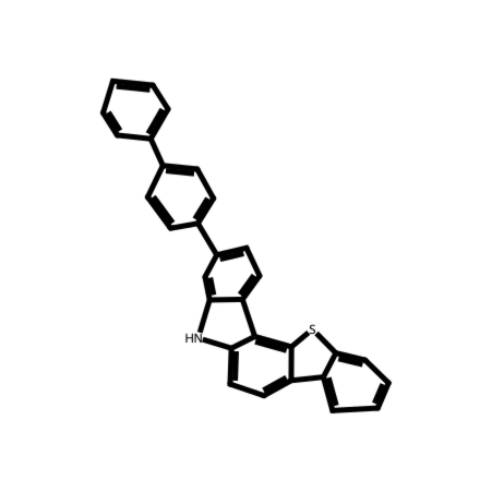 c1ccc(-c2ccc(-c3ccc4c(c3)[nH]c3ccc5c6ccccc6sc5c34)cc2)cc1